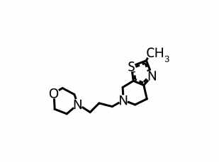 Cc1nc2c(s1)CN(CCCN1CCOCC1)CC2